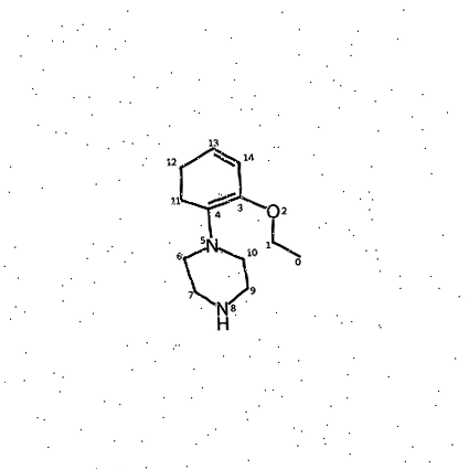 CCOC1=C(N2CCNCC2)CCC=C1